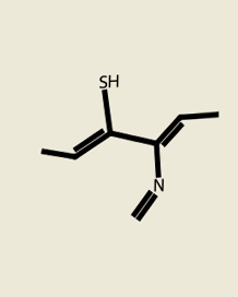 C=NC(=C\C)/C(S)=C/C